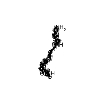 CN(Cc1ccc2c(c1)CN(C1CCC(=O)NC1=O)C2=O)C(=O)c1ccc(N2CCC3(CC(OCCCCCC(=O)Nc4cccc(Sc5cnc(N6CCC(C)(N)CC6)cn5)c4)C3)C2)nn1